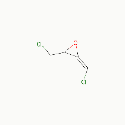 ClC=C1OC1CCl